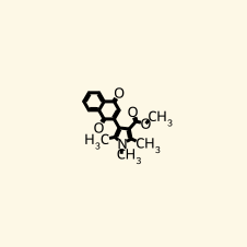 COC(=O)c1c(C2=CC(=O)c3ccccc3C2=O)c(C)n(C)c1C